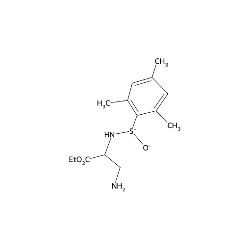 CCOC(=O)C(CN)N[S+]([O-])c1c(C)cc(C)cc1C